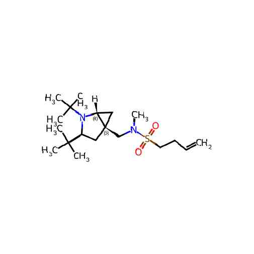 C=CCCS(=O)(=O)N(C)C[C@@]12CC(C(C)(C)C)N(C(C)(C)C)[C@@H]1C2